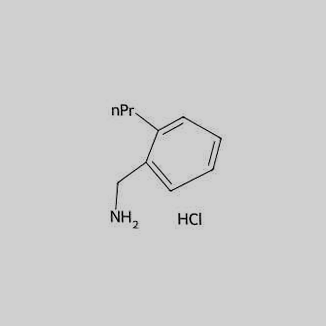 CCCc1ccccc1CN.Cl